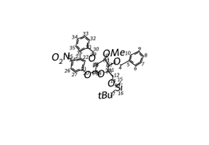 CO[C@H]1[C@@H](OCc2ccccc2)[C@@H](CO[Si](C)(C)C(C)(C)C)O[C@@H](Oc2ccc([N+](=O)[O-])cc2)[C@@H]1OCc1ccccc1